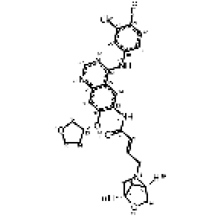 O=C(/C=C/CN1C[C@H]2C[C@@H]1CO2)Nc1cc2c(Nc3ccc(F)c(Cl)c3)ncnc2cc1O[C@@H]1CCOC1